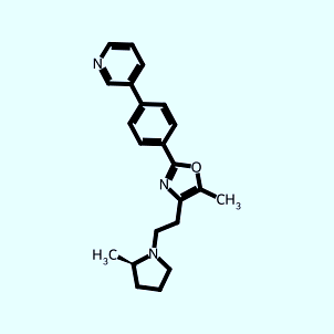 Cc1oc(-c2ccc(-c3cccnc3)cc2)nc1CCN1CCC[C@H]1C